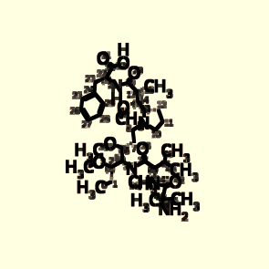 CC[C@H](OC)[C@@H]([C@@H](CCN1CCC[C@H]1[C@H](OC)[C@@H](C)C(=O)N[C@@H](Cc1ccccc1)C(=O)O)OC)N(C)C(=O)[C@@H](NC(=O)C(C)(C)N)C(C)C